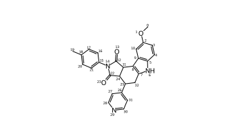 COc1ccc2[nH]c3c(c2c1)C1C(=O)N(c2ccc(C)cc2)C(=O)C1C(c1ccncc1)C3